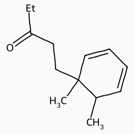 CCC(=O)CCC1(C)C=CC=CC1C